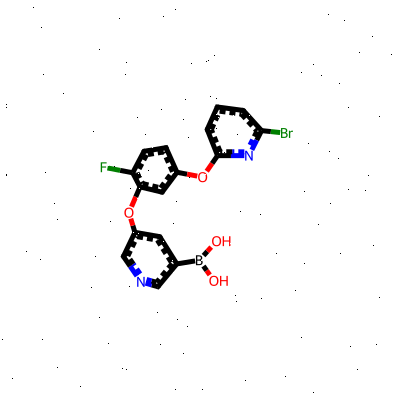 OB(O)c1cncc(Oc2cc(Oc3cccc(Br)n3)ccc2F)c1